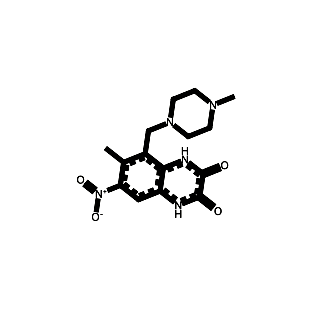 Cc1c([N+](=O)[O-])cc2[nH]c(=O)c(=O)[nH]c2c1CN1CCN(C)CC1